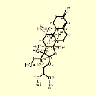 CCOC(CO[C@@H]1C[C@H]2[C@@H]3CCC4=CC(=O)CC[C@]4(C)[C@@]3(F)[C@@H](O)C[C@]2(C)[C@@]1(O)C(=O)CO)OCC